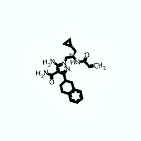 C=CC(=O)N[C@H](CC1CC1)Cn1nc(C2CCc3ccccc3C2)c(C(N)=O)c1N